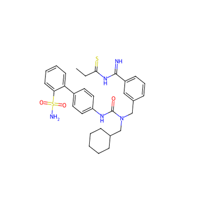 CCC(=S)NC(=N)c1cccc(CN(CC2CCCCC2)C(=O)Nc2ccc(-c3ccccc3S(N)(=O)=O)cc2)c1